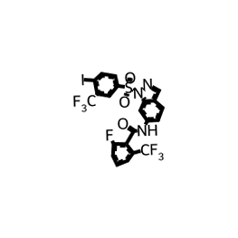 O=C(Nc1ccc2cnn(S(=O)(=O)c3ccc(I)c(C(F)(F)F)c3)c2c1)c1c(F)cccc1C(F)(F)F